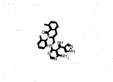 Cc1ccccc1-n1c(CNc2ncnc(N)c2C(=N)c2cn[nH]c2)cc2cccc(C)c2c1=O